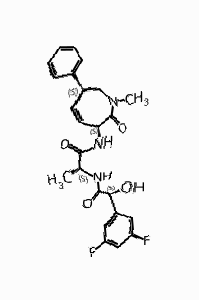 C[C@H](NC(=O)[C@@H](O)c1cc(F)cc(F)c1)C(=O)N[C@H]1C=C[C@@H](c2ccccc2)CN(C)C1=O